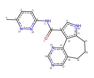 Cc1ccc(NC(=O)c2c[nH]c3c2-c2ncncc2CCC3)nn1